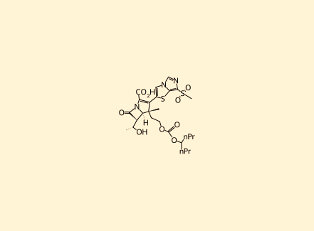 CCCC(CCC)OC(=O)OCC[C@@]1(C)C(c2cn3cnc(S(C)(=O)=O)c3s2)=C(C(=O)O)N2C(=O)[C@H]([C@@H](C)O)[C@@H]21